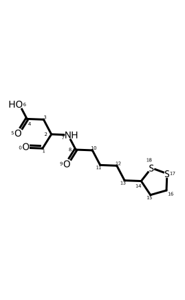 O=CC(CC(=O)O)NC(=O)CCCCC1CCSS1